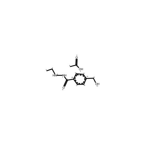 CC(=O)O.CCNNC(=O)c1ccc(CO)cc1